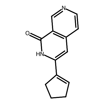 O=c1[nH]c(C2=CCCC2)cc2ccncc12